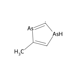 CC1=C[AsH][C]=[As]1